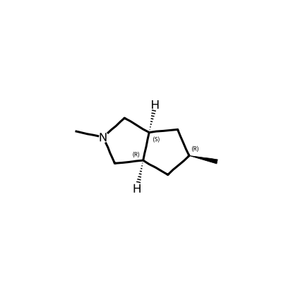 C[C@@H]1C[C@@H]2CN(C)C[C@@H]2C1